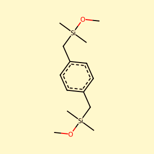 CO[Si](C)(C)Cc1ccc(C[Si](C)(C)OC)cc1